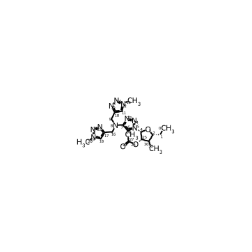 CC[C@H]1O[C@@H](n2cc(N(Cc3cn(C)nn3)Cc3cn(C)nn3)nn2)[C@@H](OC(C)=O)C1C